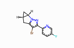 Fc1ccc(-c2nn3c(c2Br)C[C@@H]2C[C@@H]23)nc1